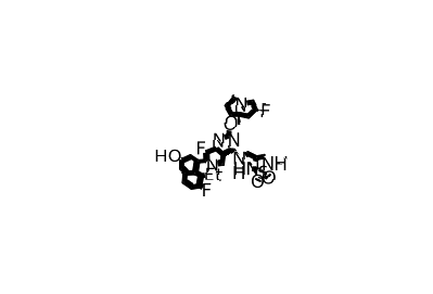 CCc1c(F)ccc2cc(O)cc(-c3ncc4c(NCC5CNS(=O)(=O)N5)nc(OC[C@@]56CCCN5C[C@H](F)C6)nc4c3F)c12